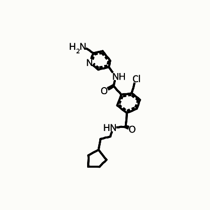 Nc1ccc(NC(=O)c2cc(C(=O)NCCC3CCCC3)ccc2Cl)cn1